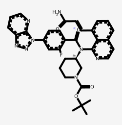 CC(C)(C)OC(=O)N1CCC[C@@H](N(C(=O)c2ccc(-n3nnc4cccnc43)cc2F)c2nccc3cccc(/C=C/C(N)=O)c23)C1